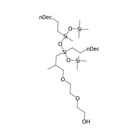 CCCCCCCCCCCC[Si](C)(O[Si](C)(C)C)O[Si](CCCCCCCCCCCC)(CC(C)COCCOCCO)O[Si](C)(C)C